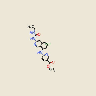 CCNC(=O)Nc1cc2cccc(Nc3ccc(C(=O)OC)cn3)c2cn1.Cl